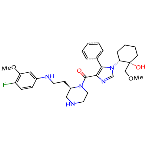 COC[C@]1(O)CCCC[C@H]1n1cnc(C(=O)N2CCNC[C@H]2CCNc2ccc(F)c(OC)c2)c1-c1ccccc1